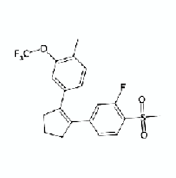 Cc1ccc(C2=C(c3ccc(S(C)(=O)=O)c(F)c3)CCC2)cc1OC(F)(F)F